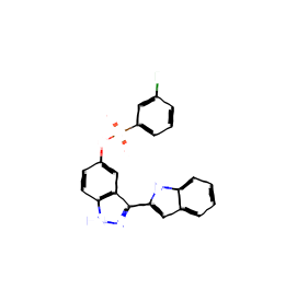 O=S(=O)(Oc1ccc2[nH]nc(-c3cc4ccccc4[nH]3)c2c1)c1cccc(F)c1